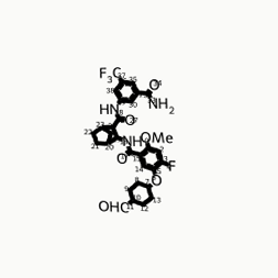 COc1cc(F)c(OC2CCC(C=O)CC2)cc1C(=O)NC1C2CCC(C2)C1C(=O)Nc1cc(C(N)=O)cc(C(F)(F)F)c1